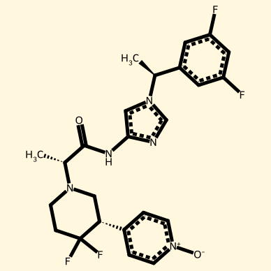 C[C@H](C(=O)Nc1cn([C@@H](C)c2cc(F)cc(F)c2)cn1)N1CCC(F)(F)[C@@H](c2cc[n+]([O-])cc2)C1